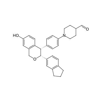 O=CC1CCN(c2ccc([C@H]3c4ccc(O)cc4CO[C@H]3c3ccc4c(c3)CCC4)cc2)CC1